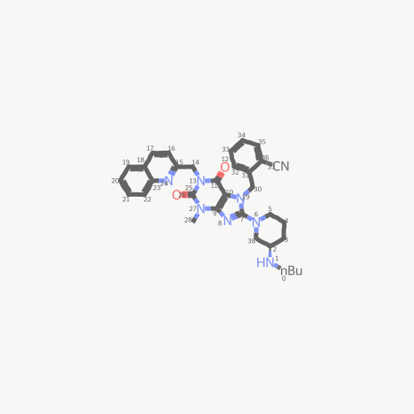 CCCCN[C@@H]1CCCN(c2nc3c(c(=O)n(Cc4ccc5ccccc5n4)c(=O)n3C)n2Cc2ccccc2C#N)C1